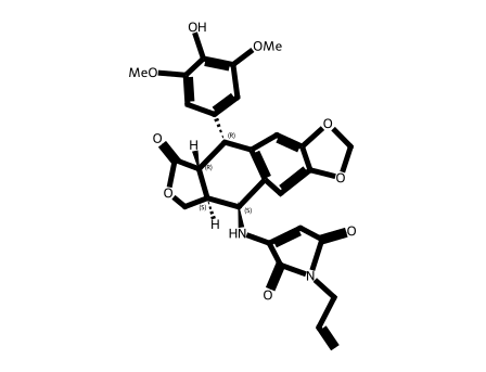 C=CCN1C(=O)C=C(N[C@@H]2c3cc4c(cc3[C@@H](c3cc(OC)c(O)c(OC)c3)[C@H]3C(=O)OC[C@@H]32)OCO4)C1=O